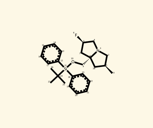 C[C@@H]1CN2C[C@H](F)C[C@]2(CO[Si](c2ccccc2)(c2ccccc2)C(C)(C)C)C1